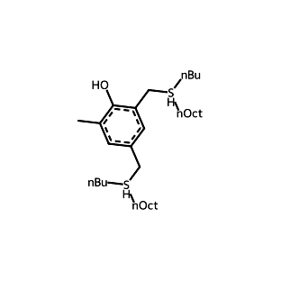 CCCCCCCC[SH](CCCC)Cc1cc(C)c(O)c(C[SH](CCCC)CCCCCCCC)c1